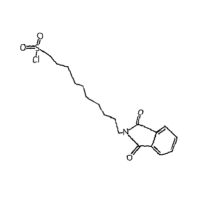 O=C1c2ccccc2C(=O)N1CCCCCCCCCCS(=O)(=O)Cl